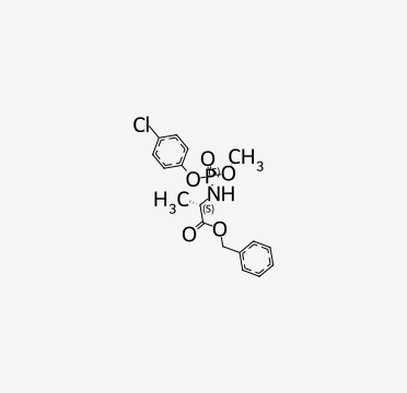 CO[P@@](=O)(N[C@@H](C)C(=O)OCc1ccccc1)Oc1ccc(Cl)cc1